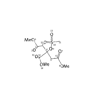 COC(=O)CC(CC(=O)OC)(OS(C)(=O)=O)C(=O)OC